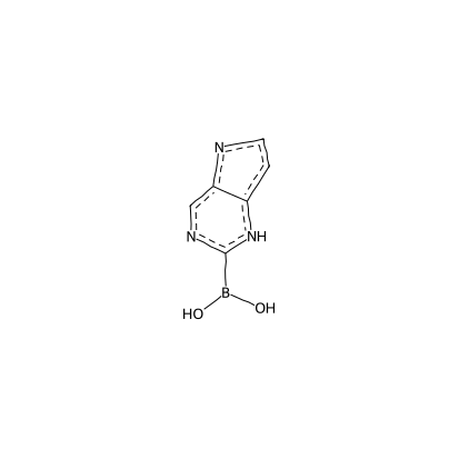 OB(O)c1ncc2nccc-2[nH]1